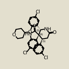 O=C1C[C@@H](c2cccc(Cl)c2)[C@]2(C(=O)Nc3cc(Cl)ccc32)[C@H](c2cc(Cl)ccc2OC2CCOCC2)N1